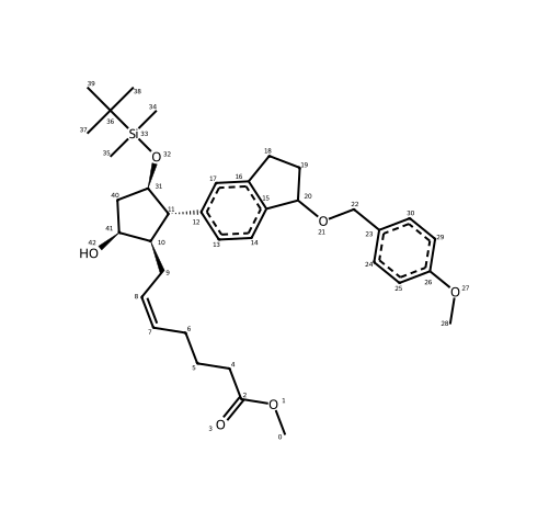 COC(=O)CCC/C=C\C[C@@H]1[C@@H](c2ccc3c(c2)CCC3OCc2ccc(OC)cc2)[C@H](O[Si](C)(C)C(C)(C)C)C[C@@H]1O